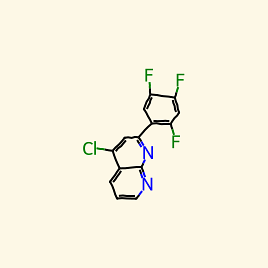 Fc1cc(F)c(-c2cc(Cl)c3cccnc3n2)cc1F